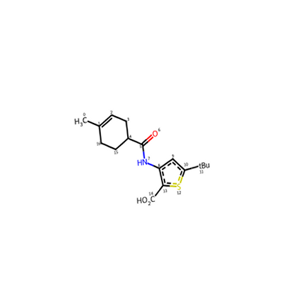 CC1=CCC(C(=O)Nc2cc(C(C)(C)C)sc2C(=O)O)CC1